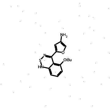 CC(C)COc1cccc2c1C(c1cc(N)co1)=NSN2